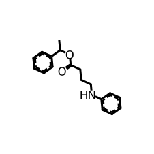 CC(OC(=O)CCCNc1ccccc1)c1ccccc1